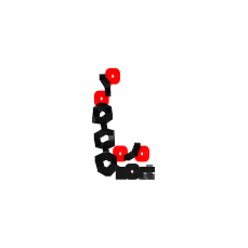 CCCCCCCCc1cccc(C2=CCC(c3ccc(OCC4CO4)cc3)CC2)c1OCC1CO1